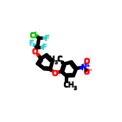 Cc1cc([N+](=O)[O-])cc(C)c1Oc1ccc(OC(F)(F)C(F)Cl)cc1